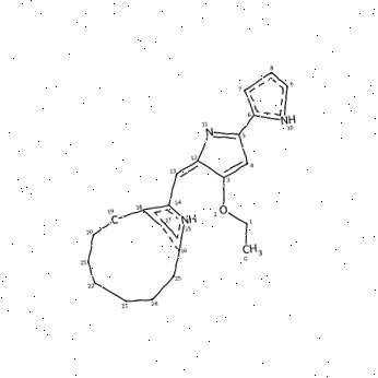 CCOC1=CC(c2ccc[nH]2)=NC1=Cc1[nH]c2cc1CCCCCCC2